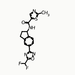 Cc1ncc(C(=O)NC2CCc3cc(-c4noc(C(F)F)n4)ccc32)s1